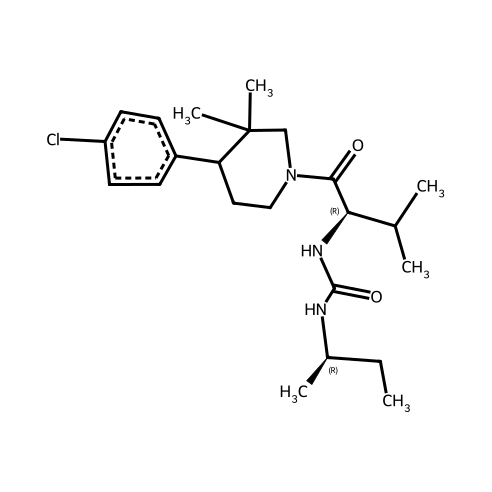 CC[C@@H](C)NC(=O)N[C@@H](C(=O)N1CCC(c2ccc(Cl)cc2)C(C)(C)C1)C(C)C